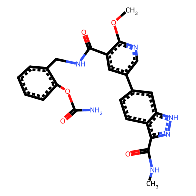 CNC(=O)c1n[nH]c2cc(-c3cnc(OC)c(C(=O)NCc4ccccc4OC(N)=O)c3)ccc12